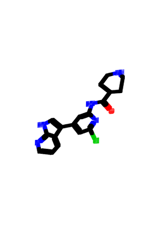 O=C(Nc1cc(-c2c[nH]c3ncccc23)cc(Cl)n1)C1CCNCC1